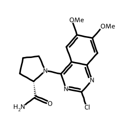 COc1cc2nc(Cl)nc(N3CCC[C@H]3C(N)=O)c2cc1OC